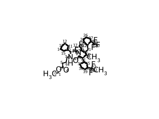 CCOC(=O)CCCNC(c1ccccc1)[C@@H]1CSc2c(Cc3c(F)cccc3C(F)(F)F)c(C)c(-c3cccc(C(C)(F)F)c3)c(=O)n21